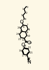 CCCCCOC1CCC2CC(C(=O)Oc3ccc(C#N)cc3)CCC2C1